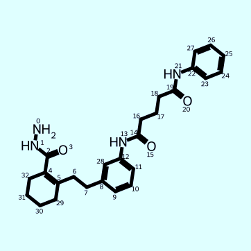 NNC(=O)C1=C(CCc2cccc(NC(=O)CCCC(=O)Nc3ccccc3)c2)CCCC1